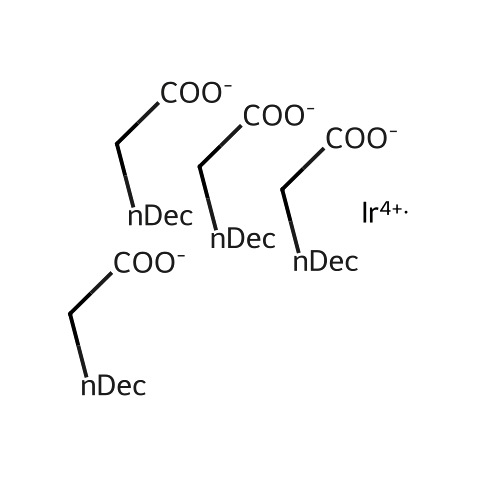 CCCCCCCCCCCC(=O)[O-].CCCCCCCCCCCC(=O)[O-].CCCCCCCCCCCC(=O)[O-].CCCCCCCCCCCC(=O)[O-].[Ir+4]